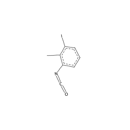 Cc1c(I)cccc1N=C=O